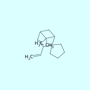 C=CC1=CC2CC(C13CCCC3)C2(C)C